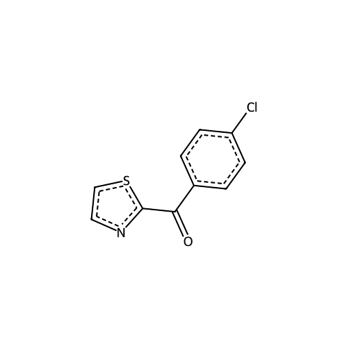 O=C(c1ccc(Cl)cc1)c1nccs1